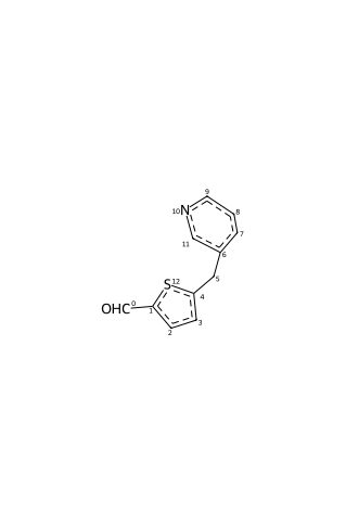 O=Cc1ccc(Cc2cccnc2)s1